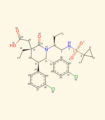 CC[C@@H](CNS(=O)(=O)C1(C)CC1)N1C(=O)[C@@](CC)(CC(=O)O)C[C@H](c2cccc(Cl)c2)[C@H]1c1ccc(Cl)cc1